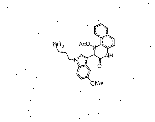 COc1ccc2c(c1)c(C1C(=O)Nc3ccc4ccccc4c3N1OC(C)=O)cn2CCCN